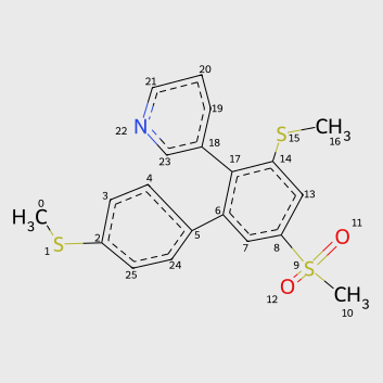 CSc1ccc(-c2cc(S(C)(=O)=O)cc(SC)c2-c2cccnc2)cc1